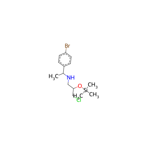 CC(NCC(CCl)O[Si](C)(C)C)c1ccc(Br)cc1